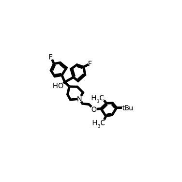 Cc1cc(C(C)(C)C)cc(C)c1OCCN1CCC(C(O)(c2ccc(F)cc2)c2ccc(F)cc2)CC1